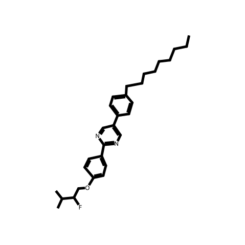 CCCCCCCCCc1ccc(-c2cnc(-c3ccc(OCC(F)C(C)C)cc3)nc2)cc1